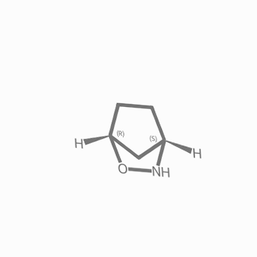 C1C[C@@H]2C[C@H]1NO2